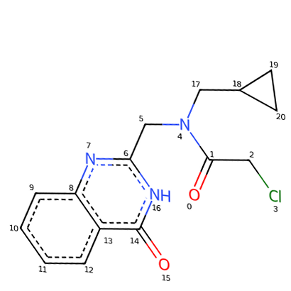 O=C(CCl)N(Cc1nc2ccccc2c(=O)[nH]1)CC1CC1